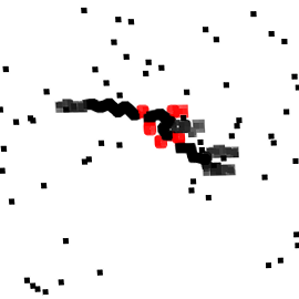 CCCCCCCCCCCCCCCCOC(=O)CC(O)(CC(=O)OCCCC(CCCCCC)CCCCCC)C(=O)O